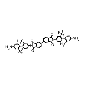 Cc1cc(N2C(=O)c3ccc(-c4ccc5c(c4)C(=O)N(c4ccc(-c6ccc(N)cc6C)c(C(F)(F)F)c4)C5=O)cc3C2=O)ccc1-c1ccc(N)cc1C(F)(F)F